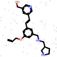 C=CCOc1cc(/C=C/c2cncc(CO)c2)cc(CNCC2CCNC2)c1